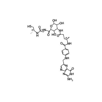 C[C@H](CS)NC(=O)CNC(=O)C1OC(O)C(O)C(NC(=O)CC[C@@H](C)NC(=O)c2ccc(NCc3cnc4nc(N)[nH]c(=O)c4n3)cc2)C1O